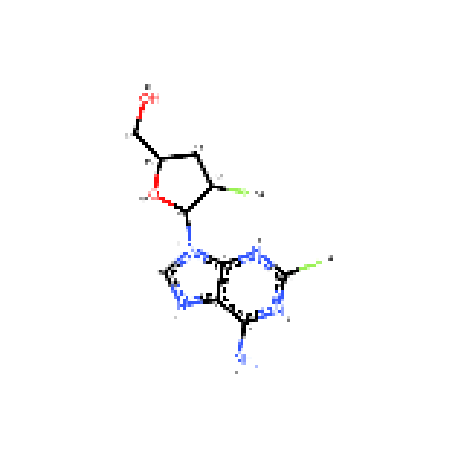 Nc1nc(F)nc2c1ncn2C1OC(CO)CC1F